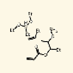 C=CC(=O)OC(CC)C(C)O[SiH3].C=CCC.CCO[SiH](CC)OCC